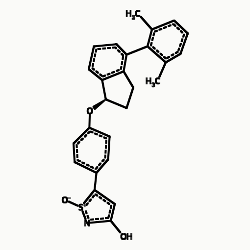 Cc1cccc(C)c1-c1cccc2c1CC[C@H]2Oc1ccc(-c2cc(O)n[s+]2[O-])cc1